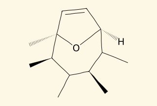 CC1[C@@H](C)C(C)[C@@H](C)[C@@]2(C)C=C[C@@H]1O2